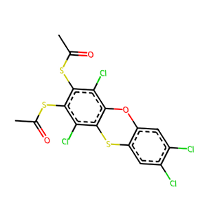 CC(=O)Sc1c(Cl)c2c(c(Cl)c1SC(C)=O)Sc1cc(Cl)c(Cl)cc1O2